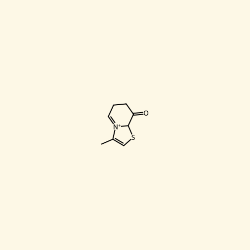 CC1=CSC2C(=O)CCC=[N+]12